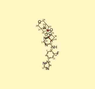 Cc1c(Nc2ccc(-n3cncn3)cc2F)ncnc1OC1CC2COCC(C1)N2C(=O)OC1(C)CCC1